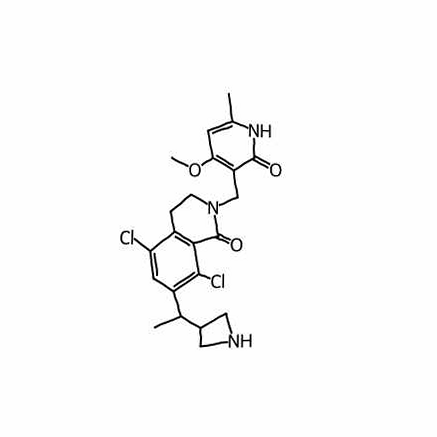 COc1cc(C)[nH]c(=O)c1CN1CCc2c(Cl)cc(C(C)C3CNC3)c(Cl)c2C1=O